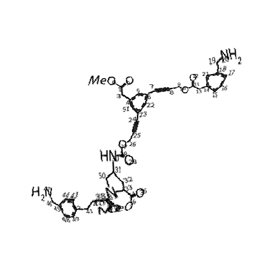 COC(=O)Cc1cc(C#CCOC(=O)Cc2cccc(CN)c2)cc(C#CCOC(=O)NC2CC(C(=O)OC)N(C(=O)CCc3ccc(CN)cc3)C2)c1